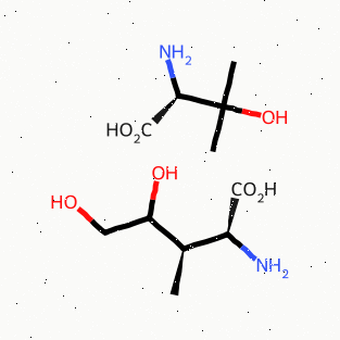 CC(C)(O)[C@H](N)C(=O)O.C[C@@H](C(O)CO)[C@H](N)C(=O)O